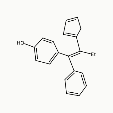 CC/C(C1=CC=CC1)=C(\c1ccccc1)c1ccc(O)cc1